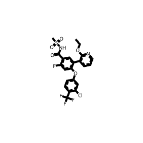 CCOc1ncccc1-c1cc(C(=O)NS(C)(=O)=O)c(F)cc1Oc1ccc(C(F)(F)F)c(Cl)c1